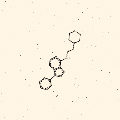 c1ccc(-c2cnc3c(NCCN4CCOCC4)nccn23)cc1